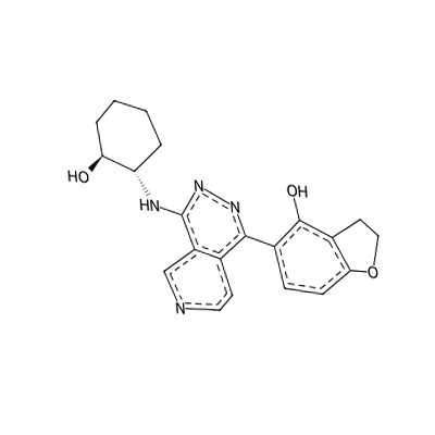 Oc1c(-c2nnc(N[C@H]3CCCC[C@@H]3O)c3cnccc23)ccc2c1CCO2